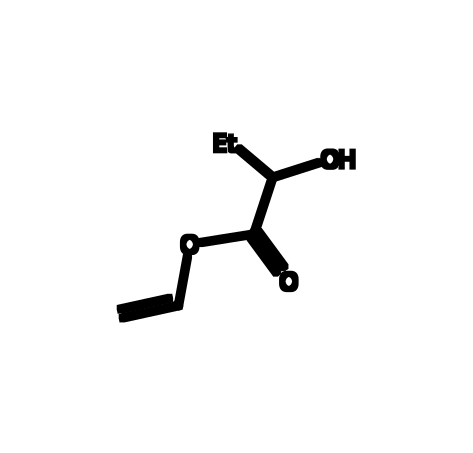 C=COC(=O)C(O)CC